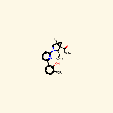 COC[C@H]1N(c2cccc(-c3cccc(C(F)(F)F)c3O)n2)C[C@@H]2C[C@@]21C(=O)OC